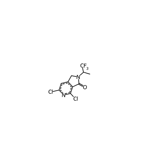 CC(N1Cc2cc(Cl)nc(Cl)c2C1=O)C(F)(F)F